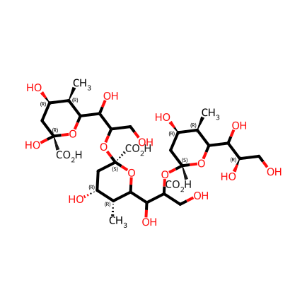 C[C@H]1C(C(O)C(CO)O[C@]2(C(=O)O)C[C@@H](O)[C@@H](C)C(C(O)C(CO)O[C@]3(C(=O)O)C[C@@H](O)[C@@H](C)C(C(O)[C@H](O)CO)O3)O2)O[C@@](O)(C(=O)O)C[C@H]1O